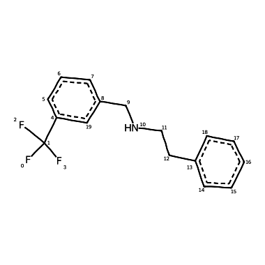 FC(F)(F)c1cccc(CNCCc2ccccc2)c1